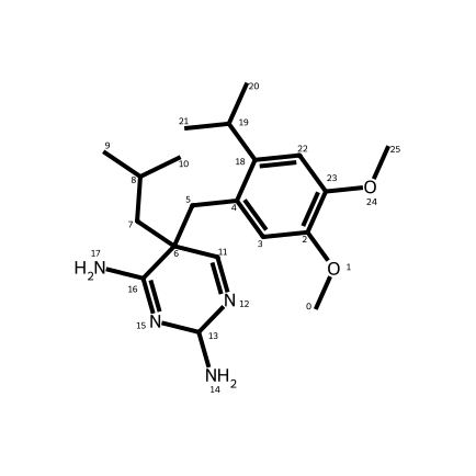 COc1cc(CC2(CC(C)C)C=NC(N)N=C2N)c(C(C)C)cc1OC